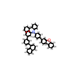 c1ccc(-c2ccccc2N(c2ccc(-c3ccc4c(c3)oc3ccccc34)cc2)c2cccc(-c3cccc(-c4cccc5ccccc45)c3)c2)cc1